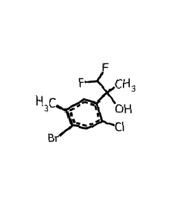 Cc1cc(C(C)(O)C(F)F)c(Cl)cc1Br